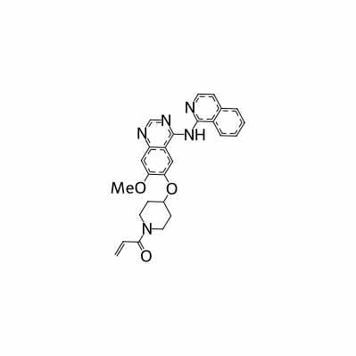 C=CC(=O)N1CCC(Oc2cc3c(Nc4nccc5ccccc45)ncnc3cc2OC)CC1